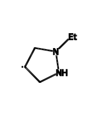 CCN1C[CH]CN1